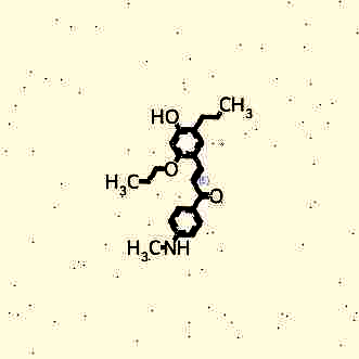 CCCOc1cc(O)c(CCC)cc1/C=C/C(=O)c1ccc(NC)cc1